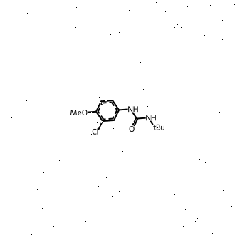 COc1ccc(NC(=O)NC(C)(C)C)cc1Cl